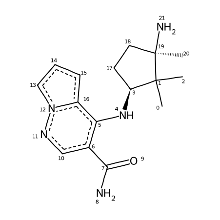 CC1(C)[C@@H](Nc2c(C(N)=O)cnn3cccc23)CC[C@@]1(C)N